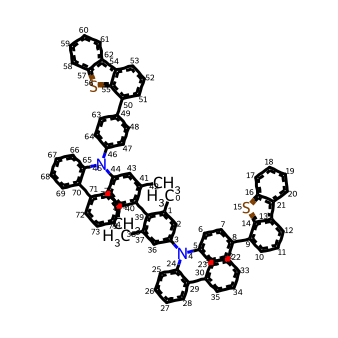 Cc1cc(N(c2ccc(-c3cccc4c3sc3ccccc34)cc2)c2ccccc2-c2ccccc2)cc(C)c1-c1c(C)cc(N(c2ccc(-c3cccc4c3sc3ccccc34)cc2)c2ccccc2-c2ccccc2)cc1C